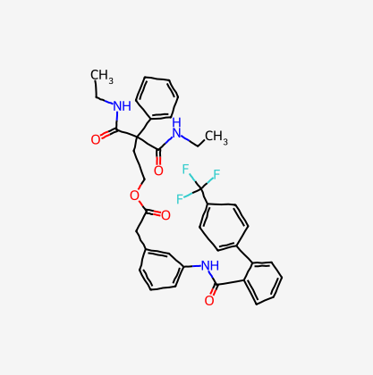 CCNC(=O)C(CCOC(=O)Cc1cccc(NC(=O)c2ccccc2-c2ccc(C(F)(F)F)cc2)c1)(C(=O)NCC)c1ccccc1